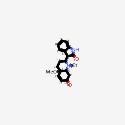 CCN1C(C2C(=O)Nc3ccccc32)CCC2(OC)C=CC(=O)CC12